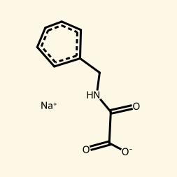 O=C([O-])C(=O)NCc1ccccc1.[Na+]